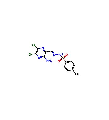 Cc1ccc(S(=O)(=O)NN=Cc2nc(Cl)c(Cl)nc2N)cc1